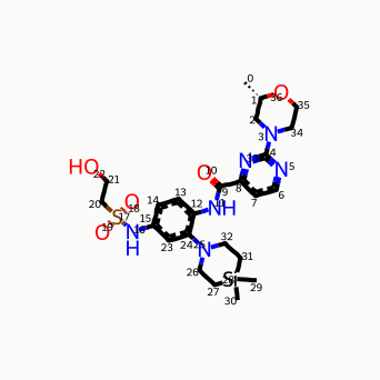 C[C@H]1CN(c2nccc(C(=O)Nc3ccc(NS(=O)(=O)CCO)cc3N3CC[Si](C)(C)CC3)n2)CCO1